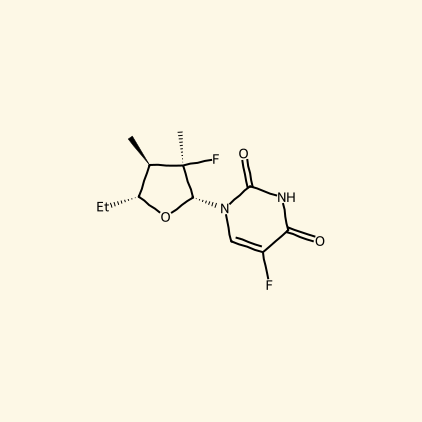 CC[C@H]1O[C@@H](n2cc(F)c(=O)[nH]c2=O)[C@](C)(F)[C@@H]1C